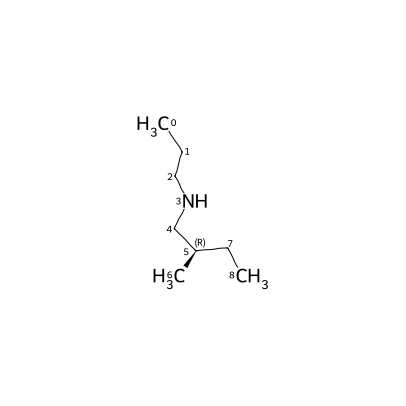 CCCNC[C@H](C)CC